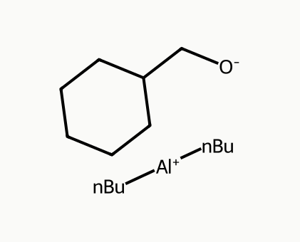 CCC[CH2][Al+][CH2]CCC.[O-]CC1CCCCC1